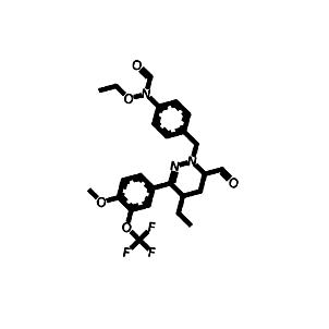 CCON(C=O)c1ccc(CN2N=C(c3ccc(OC)c(OC(F)(F)F)c3)C(CC)CC2C=O)cc1